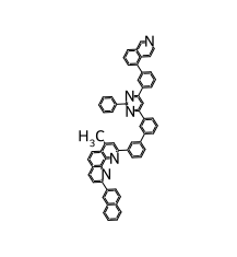 Cc1cc(-c2cccc(-c3cccc(-c4cc(-c5cccc(-c6cccc7cnccc67)c5)nc(-c5ccccc5)n4)c3)c2)nc2c1ccc1ccc(-c3ccc4ccccc4c3)nc12